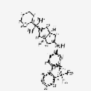 [2H]C([2H])([C@@H]1CCCCO1)N1C[C@H]2CC(Nc3ccc(-c4cnccc4C(F)(F)F)nn3)C[C@H]2C1